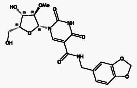 CO[C@@H]1[C@@H](O)[C@@H](CO)O[C@H]1n1cc(C(=O)NCc2ccc3c(c2)OCO3)c(=O)[nH]c1=O